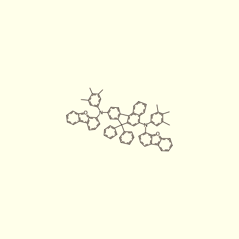 Cc1cc(N(c2ccc3c(c2)C(c2ccccc2)(c2ccccc2)c2cc(N(c4cc(C)c(C)c(C)c4)c4cccc5c4oc4ccccc45)c4ccccc4c2-3)c2cccc3c2oc2ccccc23)cc(C)c1C